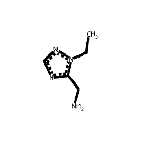 CCn1ncnc1CN